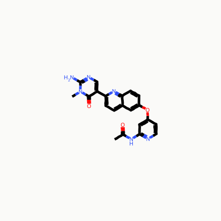 CC(=O)Nc1cc(Oc2ccc3nc(-c4cnc(N)n(C)c4=O)ccc3c2)ccn1